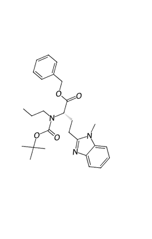 CCCN(C(=O)OC(C)(C)C)[C@@H](CCc1nc2ccccc2n1C)C(=O)OCc1ccccc1